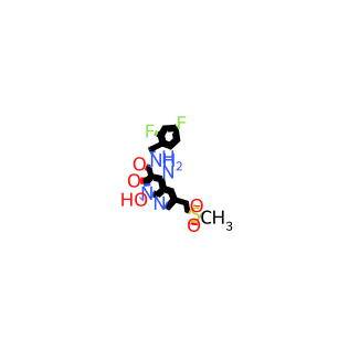 CS(=O)(=O)CCc1cnc2c(c1)c(N)c(C(=O)NCc1ccc(F)cc1F)c(=O)n2O